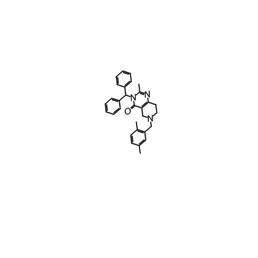 Cc1ccc(C)c(CN2CCc3nc(C)n(C(c4ccccc4)c4ccccc4)c(=O)c3C2)c1